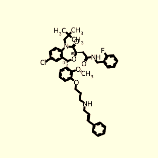 COc1c(OCCCNCC=Cc2ccccc2)cccc1[C@H]1O[C@H](CC(=O)NCc2ccccc2F)C(=O)N(CC(C)(C)C)c2ccc(Cl)cc21